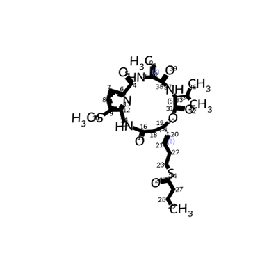 C/C=C1\NC(=O)c2ccc(SC)c(n2)CNC(=O)C[C@@H](/C=C/CCSC(=O)CCC)OC(=O)[C@H](C(C)C)NC1=O